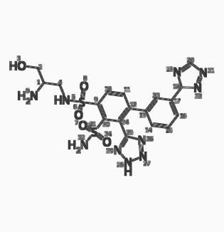 NC(CO)CNS(=O)(=O)c1ccc(-c2cccc(C3N=CN=N3)c2)c(-c2nn[nH]n2)c1S(N)(=O)=O